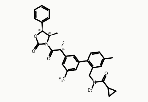 CCN(Cc1cc(C)ccc1-c1cc([C@@H](C)C(=O)N2C(=O)O[C@@H](c3ccccc3)[C@H]2C)cc(C(F)(F)F)c1)C(=O)C1CC1